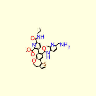 CCCNC(=O)c1ccc(-c2cc3c(cc2C(=O)Nc2ccc(CN)nc2C)-c2sccc2CCO3)c(C(=O)OC)n1